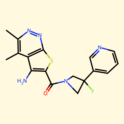 Cc1nnc2sc(C(=O)N3CC(F)(c4cccnc4)C3)c(N)c2c1C